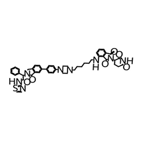 O=C1CCC(N2C(=O)c3cccc(NCCCCCCN4CCN(c5ccc(-c6ccc7c(c6)C(=O)N(C(C(=O)Nc6nccs6)c6ccccc6)C7)cc5)CC4)c3C2=O)C(=O)N1